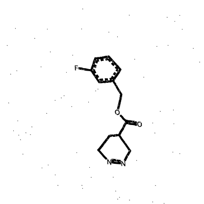 O=C(OCc1cccc(F)c1)C1CCN=NC1